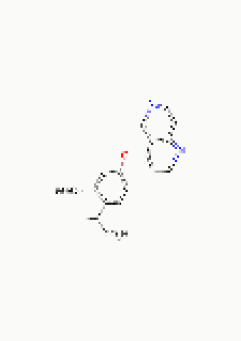 COc1cc(Oc2ccnc3ccncc23)ccc1C(C)C(=O)O